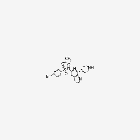 O=C(ON(c1cc2cccnc2c(N2CCNCC2)n1)S(=O)(=O)c1ccc(Br)cc1)C(F)(F)F